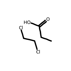 CCC(=O)O.ClCCCl